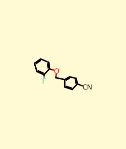 N#Cc1ccc(COc2ccccc2F)cc1